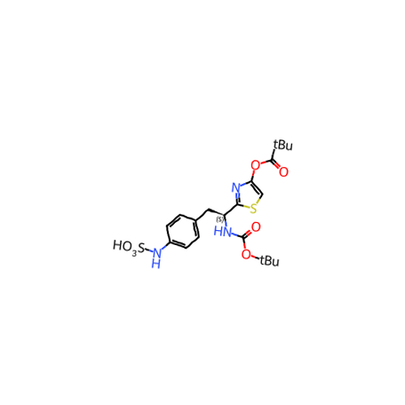 CC(C)(C)OC(=O)N[C@@H](Cc1ccc(NS(=O)(=O)O)cc1)c1nc(OC(=O)C(C)(C)C)cs1